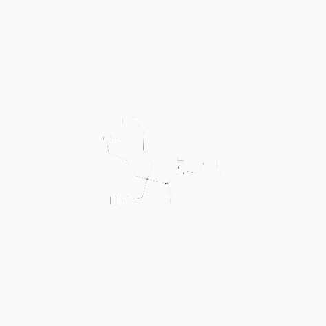 C=CNC(=O)C(CC)(CCCC)CCCC